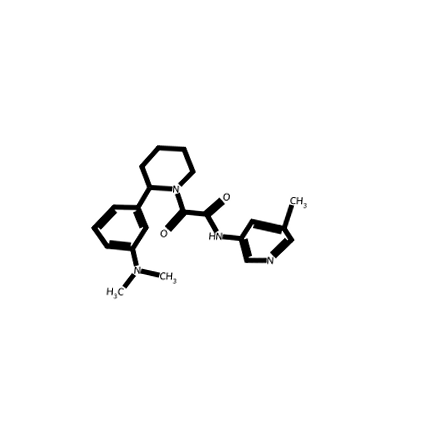 Cc1cncc(NC(=O)C(=O)N2CCCCC2c2cccc(N(C)C)c2)c1